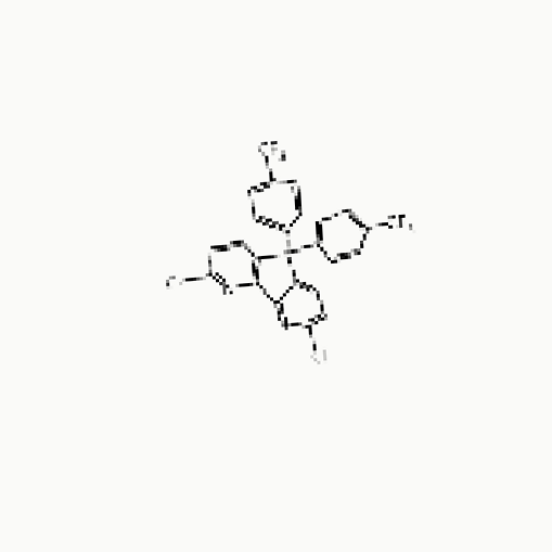 FC(F)(F)c1ccc(C2(c3ccc(C(F)(F)F)cc3)c3ccc(Cl)nc3-c3nc(Cl)ccc32)cc1